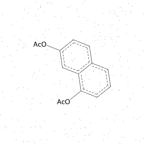 CC(=O)Oc1ccc2cccc(OC(C)=O)c2c1